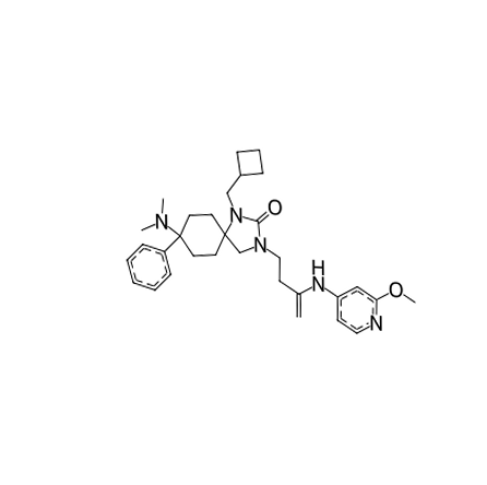 C=C(CCN1CC2(CCC(c3ccccc3)(N(C)C)CC2)N(CC2CCC2)C1=O)Nc1ccnc(OC)c1